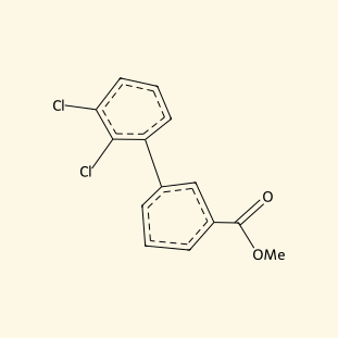 COC(=O)c1cccc(-c2cccc(Cl)c2Cl)c1